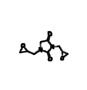 O=C1CN(CC2CO2)C(=O)N1CC1CO1